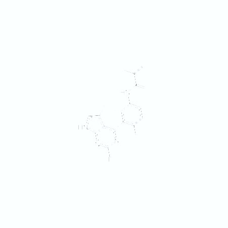 C=C(C)C(=O)Nc1ccc(F)c(-c2nc(CC)nc3[nH]cc(C(=O)O)c23)c1